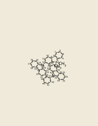 CC1(C)c2ccccc2-c2ccc(-n3c4ccccc4c4cccc(-c5cccc6c7ccccc7n(-c7ccccc7)c56)c43)cc21